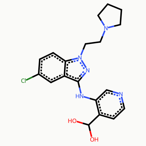 OC(O)c1ccncc1Nc1nn(CCN2CCCC2)c2ccc(Cl)cc12